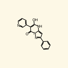 O=c1c(-c2cccnc2)c(O)[nH]c2cc(-c3ccccc3)nn12